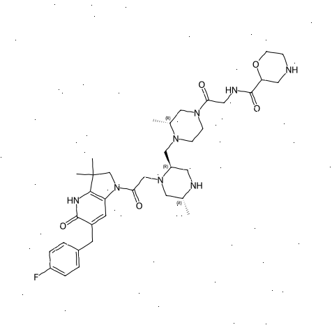 C[C@@H]1CN(CC(=O)N2CC(C)(C)c3[nH]c(=O)c(Cc4ccc(F)cc4)cc32)[C@@H](CN2CCN(C(=O)CNC(=O)C3CNCCO3)C[C@H]2C)CN1